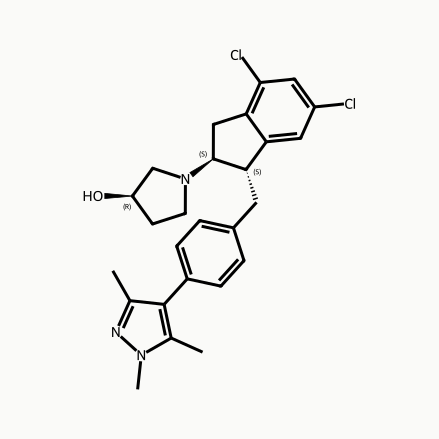 Cc1nn(C)c(C)c1-c1ccc(C[C@H]2c3cc(Cl)cc(Cl)c3C[C@@H]2N2CC[C@@H](O)C2)cc1